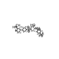 CNc1cc(-c2ccc(S(=O)(=O)N3CC[C@@H](Nc4ccc(C(F)(F)F)cn4)[C@@H](O)C3)cc2)ccn1